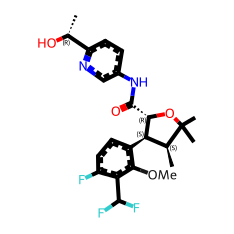 COc1c([C@H]2[C@H](C(=O)Nc3ccc([C@@H](C)O)nc3)OC(C)(C)[C@H]2C)ccc(F)c1C(F)F